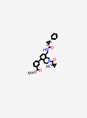 COC(=O)c1cccc(-c2ccc(CNC(=O)[C@@H]3C[C@@H]3c3ccccc3)c3c2CCN(C(=O)C2(C#N)CC2)C3)c1